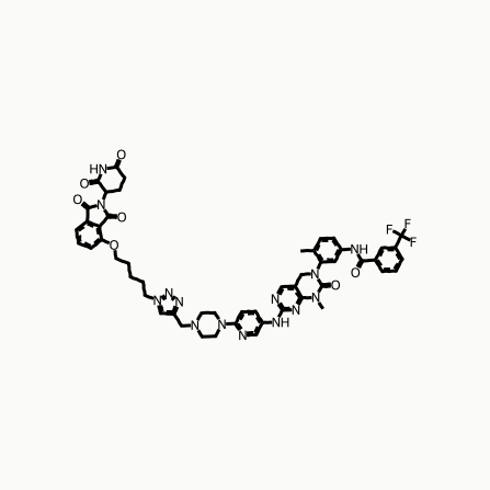 Cc1ccc(NC(=O)c2cccc(C(F)(F)F)c2)cc1N1Cc2cnc(Nc3ccc(N4CCN(Cc5cn(CCCCCOc6cccc7c6C(=O)N(C6CCC(=O)NC6=O)C7=O)nn5)CC4)nc3)nc2N(C)C1=O